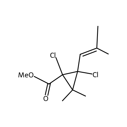 COC(=O)C1(Cl)C(C)(C)C1(Cl)C=C(C)C